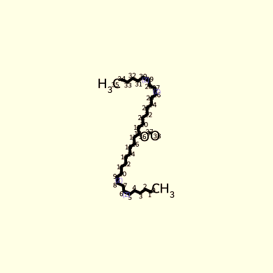 CCCCC/C=C\C/C=C\CCCCCCCCC(CCCCCCC/C=C\C/C=C\CCCCC)OC=O